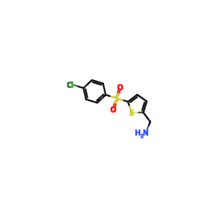 NCc1ccc(S(=O)(=O)c2ccc(Cl)cc2)s1